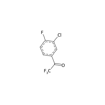 O=C(c1ccc(F)c(Cl)c1)C(F)(F)F